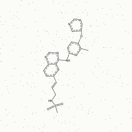 Cc1cc(Nc2ncnc3ccc(C=CCNS(C)(=O)=O)cc23)ccc1Oc1cccnc1